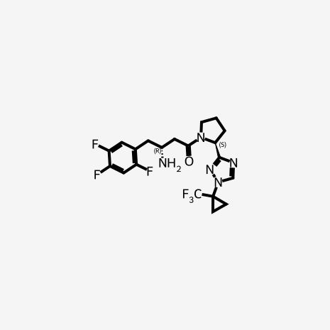 N[C@@H](CC(=O)N1CCC[C@H]1c1ncn(C2(C(F)(F)F)CC2)n1)Cc1cc(F)c(F)cc1F